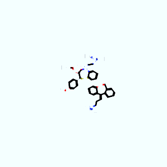 CN(C)CCC=C1c2ccccc2COc2ccccc21.COc1ccc([C@@H]2Sc3ccccc3N(CCN(C)C)C(=O)[C@@H]2OC(C)=O)cc1